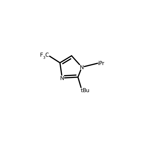 CC(C)n1cc(C(F)(F)F)nc1C(C)(C)C